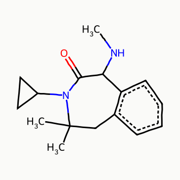 CNC1C(=O)N(C2CC2)C(C)(C)Cc2ccccc21